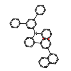 c1ccc(-c2cc(-c3ccccc3)cc(N(c3ccccc3)c3ccccc3-c3cccc(-c4cccc5ccccc45)c3)c2)cc1